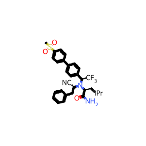 CC(C)C[C@@H](C(N)=O)N([C@H](C#N)Cc1ccccc1)[C@@H](c1ccc(-c2ccc(S(C)(=O)=O)cc2)cc1)C(F)(F)F